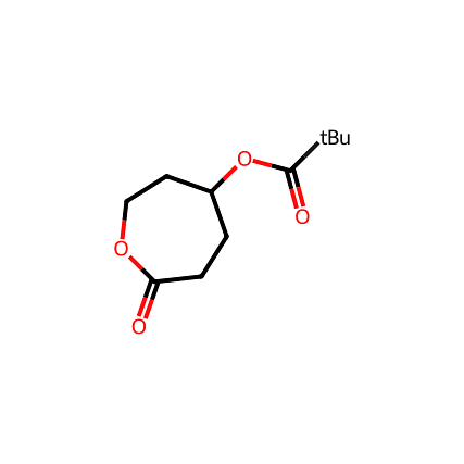 CC(C)(C)C(=O)OC1CCOC(=O)CC1